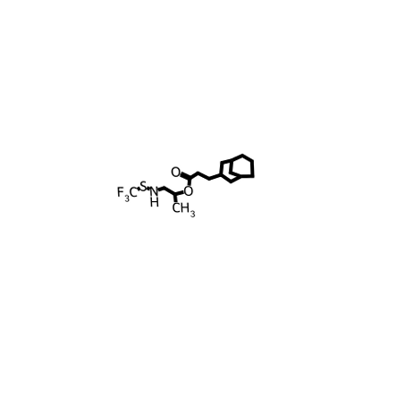 CC(CNSC(F)(F)F)OC(=O)CCC1CC2CCCC(C2)C1